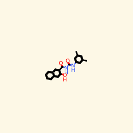 Cc1cc(C)cc(NC(=O)NC(=O)c2cc3ccccc3cc2O)c1